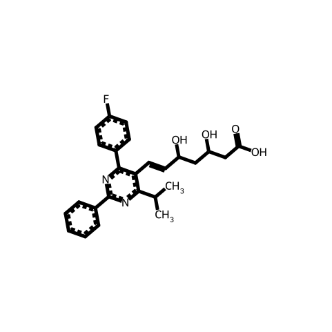 CC(C)c1nc(-c2ccccc2)nc(-c2ccc(F)cc2)c1/C=C/C(O)CC(O)CC(=O)O